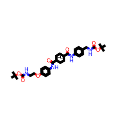 CC(C)(C)OC(=O)NCCOc1ccc(NC(=O)C23CCC(C(=O)Nc4ccc(CNC(=O)OC(C)(C)C)cc4)(CC2)CC3)cc1